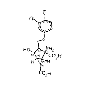 N[C@]1(C(=O)O)[C@@H]2[C@@H](C(=O)O)[C@@H]2[C@H](O)[C@H]1CSc1ccc(F)c(Cl)c1